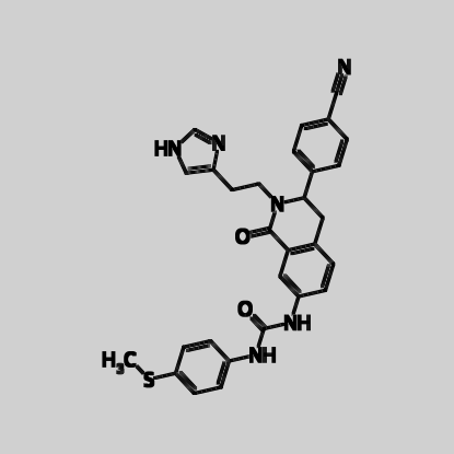 CSc1ccc(NC(=O)Nc2ccc3c(c2)C(=O)N(CCc2c[nH]cn2)C(c2ccc(C#N)cc2)C3)cc1